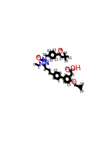 CCn1c(CCCc2ccc(-c3ccc(OCC4CC4)c(CC(=O)O)c3)cc2)nn(Cc2ccc(C(=O)CC(C)(C)C)cc2)c1=O